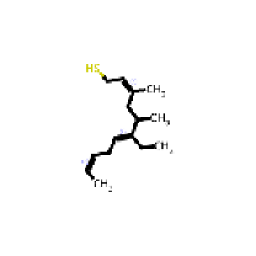 C/C=C\C/C=C(\CC)C(C)C/C(C)=C\CS